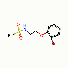 CC(C)S(=O)(=O)NCCOc1ccccc1Br